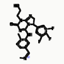 C/N=C\c1ccc(C)c(NC2=NC(=O)N(CCO)C3=NCC(c4cc(F)c(F)c(F)c4)N23)c1